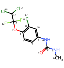 CNC(=O)Nc1ccc(OC(F)(F)C(Cl)Cl)c(Cl)c1